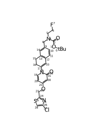 CC(C)(C)OC(=O)N(CCF)Cc1ccc2c(c1)CCC(n1ccc(OCc3nc(Cl)cs3)cc1=O)=C2